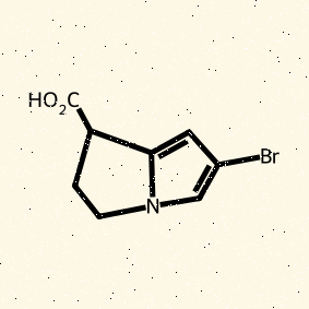 O=C(O)C1CCn2cc(Br)cc21